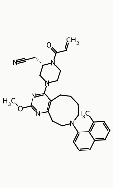 C=CC(=O)N1CCN(c2nc(OC)nc3c2CCCCN(c2cccc4cccc(C)c24)CC3)C[C@@H]1CC#N